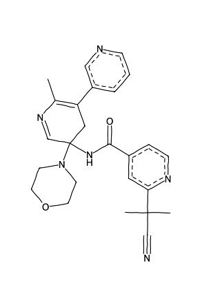 CC1=C(c2cccnc2)CC(NC(=O)c2ccnc(C(C)(C)C#N)c2)(N2CCOCC2)C=N1